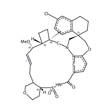 CO[C@H]1/C=C/CC2COCC[C@H]2S(=O)(=O)NC(=O)c2ccc3c(c2)N(C[C@@H]2CC[C@H]21)C[C@@]1(CCCc2cc(Cl)ccc21)CO3